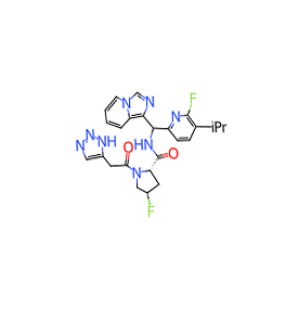 CC(C)c1ccc(C(NC(=O)[C@@H]2C[C@@H](F)CN2C(=O)Cc2cnn[nH]2)c2ncn3ccccc23)nc1F